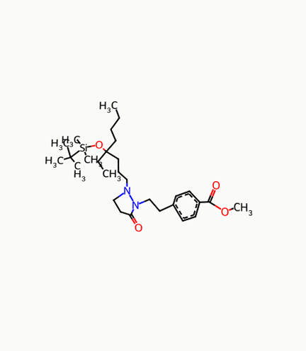 CCCCC(CC)(CCCN1CCC(=O)N1CCc1ccc(C(=O)OC)cc1)O[Si](C)(C)C(C)(C)C